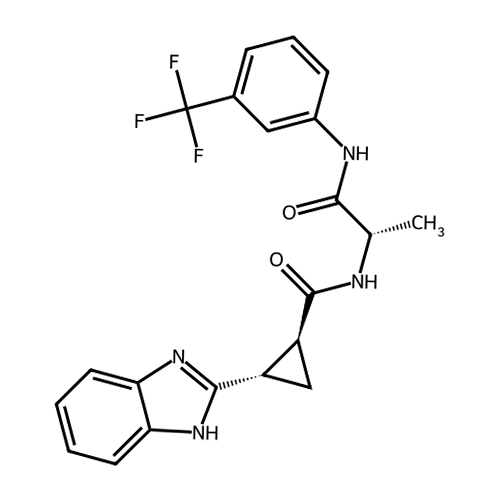 C[C@H](NC(=O)[C@H]1C[C@@H]1c1nc2ccccc2[nH]1)C(=O)Nc1cccc(C(F)(F)F)c1